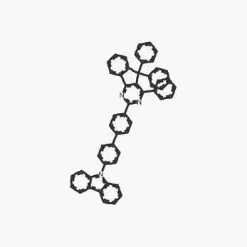 c1ccc(-c2nc(-c3ccc(-c4ccc(-n5c6ccccc6c6ccccc65)cc4)cc3)nc3c2C(c2ccccc2)(c2ccccc2)c2ccccc2-3)cc1